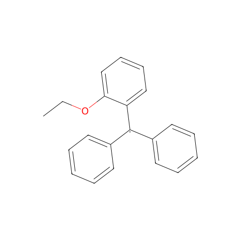 CCOc1ccccc1[C](c1ccccc1)c1ccccc1